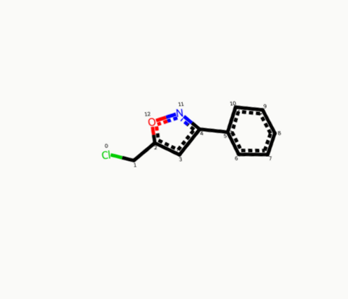 ClCc1cc(-c2ccccc2)no1